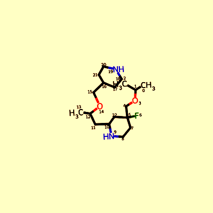 CC(C)OCC1(F)CCNC(CC(C)OCC2CCNCC2)C1